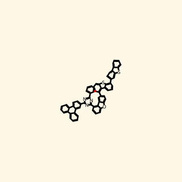 c1ccc(-c2nc(-c3ccc4c5ccccc5c5ccccc5c4c3)nc(-c3cccc4oc5ccc(-c6cccc7sc8c(-c9ccc%10c(c9)sc9ccccc9%10)cccc8c67)cc5c34)n2)cc1